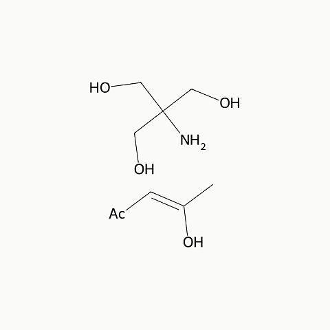 CC(=O)/C=C(/C)O.NC(CO)(CO)CO